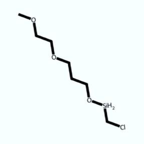 COCCOCCCO[SiH2]CCl